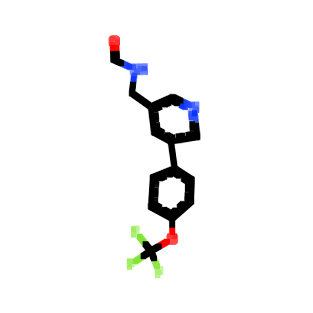 O=CNCc1cncc(-c2ccc(OC(F)(F)F)cc2)c1